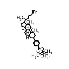 CC(C)CCC[C@@H](C)C1CC[C@H]2[C@@H]3CC[C@H]4CC(c5ccc(B6OC(C)(C)C(C)(C)O6)cc5)CC[C@]4(C)[C@H]3CC[C@]12C